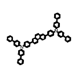 c1ccc(-c2ccc(N(c3ccc(-c4ccccc4)cc3)c3ccc(-c4ccc5c(ccc6cc(-c7ccc(N(c8ccc(-c9ccccc9)cc8)c8ccc(-c9ccccc9)cc8)cc7)ccc65)c4)cc3)cc2)cc1